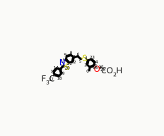 Cc1cc(SCCc2ccc3nc(-c4ccc(C(F)(F)F)cc4)sc3c2)ccc1OCC(=O)O